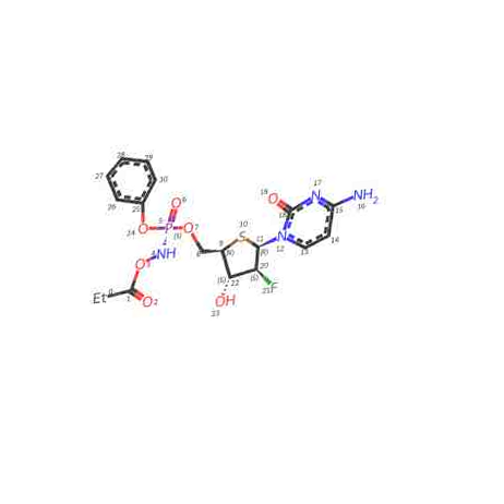 CCC(=O)ON[P@](=O)(OC[C@H]1S[C@@H](n2ccc(N)nc2=O)[C@@H](F)[C@@H]1O)Oc1ccccc1